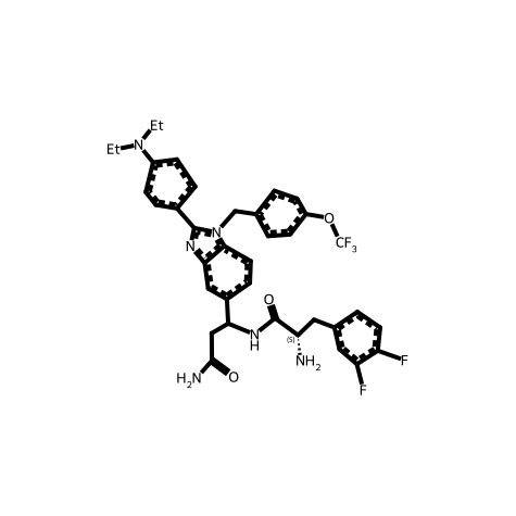 [CH2]CN(C[CH2])c1ccc(-c2nc3cc(C(CC(N)=O)NC(=O)[C@@H](N)Cc4ccc(F)c(F)c4)ccc3n2Cc2ccc(OC(F)(F)F)cc2)cc1